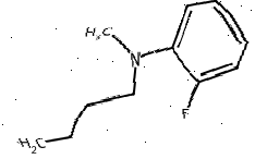 [CH2]CCCN(C)c1ccccc1F